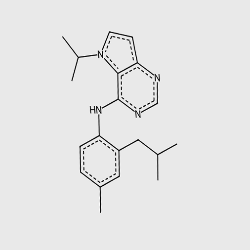 Cc1ccc(Nc2ncnc3ccn(C(C)C)c23)c(CC(C)C)c1